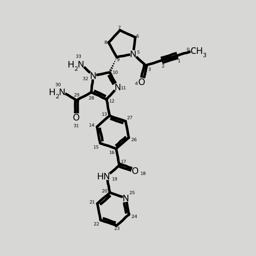 CC#CC(=O)N1CCC[C@H]1c1nc(-c2ccc(C(=O)Nc3ccccn3)cc2)c(C(N)=O)n1N